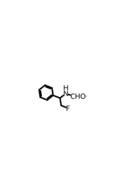 O=[C]NC(CF)c1ccccc1